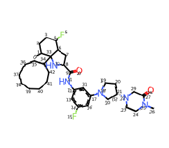 CC1CCC(F)C2CC(C(=O)Nc3cc(F)cc(N4CC[C@H](N5CCN(C)C(=O)C5)C4)c3)NC12C1CCCCCCCC1